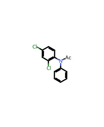 CC(=O)N(c1ccccc1)c1ccc(Cl)cc1Cl